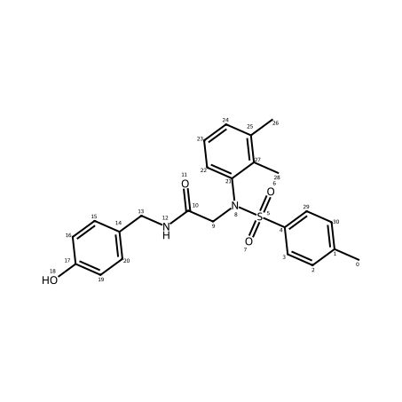 Cc1ccc(S(=O)(=O)N(CC(=O)NCc2ccc(O)cc2)c2cccc(C)c2C)cc1